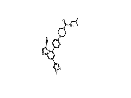 CC(C)CNC(=O)N1CCN(c2ccc(-c3cc(-c4cnn(C)c4)cc4ncc(C#N)n34)cn2)CC1